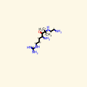 CC(C)(NCCN)C(=O)C(N)CCCNC(=N)N